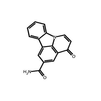 NC(=O)c1cc2c(=O)ccn3c4ccccc4c(c1)c23